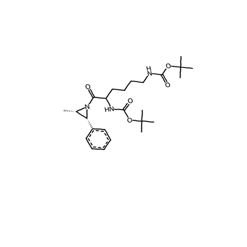 C[C@H]1[C@@H](c2ccccc2)N1C(=O)C(CCCCNC(=O)OC(C)(C)C)NC(=O)OC(C)(C)C